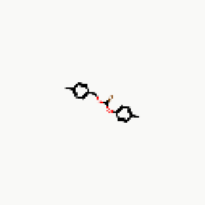 Cc1ccc(COC(=S)Oc2ccc(C)cc2)cc1